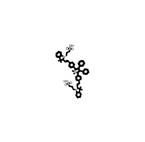 CC1(C)C(/C=C/c2ccc(C3=C(c4ccccc4)C(c4ccccc4)=C(c4ccc(/C=C/C5=[N+](CCCS(=O)(=O)O)c6ccccc6C5(C)C)cc4)[Si]3(C)C)cc2)=[N+](CCCS(=O)(=O)O)c2ccccc21